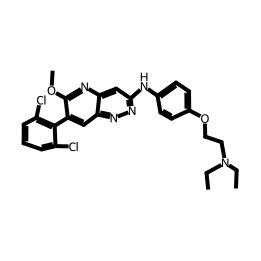 CCN(CC)CCOc1ccc(Nc2cc3nc(OC)c(-c4c(Cl)cccc4Cl)cc3nn2)cc1